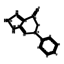 O=[N+]1CN(c2ccncc2)C=C2NNN=C21